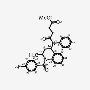 COC(=O)CCC(=O)N(c1ccccc1)C1CC(C)N(C(=O)c2ccc(F)cc2)c2ccccc21